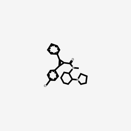 CN(C(=O)C1C(c2ccccc2)=C1c1ccc(Cl)cc1)C1CCCCC1N1CCCC1